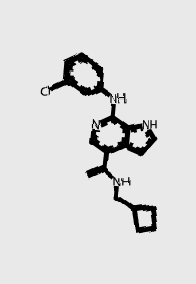 C=C(NCC1CCC1)c1cnc(Nc2cccc(Cl)c2)c2[nH]ccc12